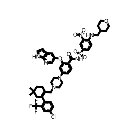 CC1(C)CCC(CN2CCN(c3ccc(C(=O)NS(=O)(=O)c4ccc(NCC5CCOCC5)c([N+](=O)[O-])c4)c(Oc4cnc5[nH]ccc5c4)c3)CC2)=C(c2ccc(Cl)cc2C(F)(F)F)C1